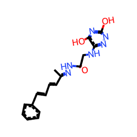 CC(/C=C/C=C/c1ccccc1)=N\NC(=O)CNc1nnc(O)nc1O